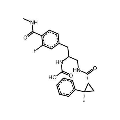 CNC(=O)c1ccc(CC(CNC(=O)[C@@H]2C[C@@]2(C)c2ccccc2)NC(=O)O)cc1F